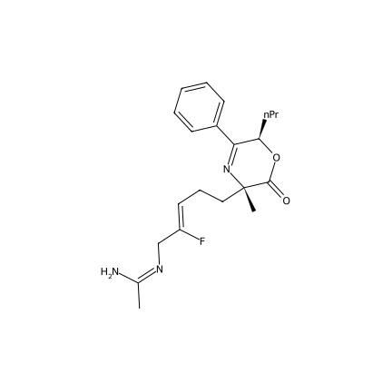 CCC[C@H]1OC(=O)[C@](C)(CC/C=C(\F)CN=C(C)N)N=C1c1ccccc1